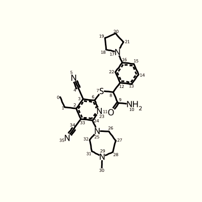 CCc1c(C#N)c(SC(C(N)=O)c2cccc(N3CCCC3)c2)nc(N2CCCN(C)CC2)c1C#N